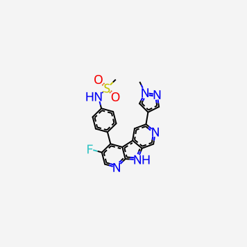 Cn1cc(-c2cc3c(cn2)[nH]c2ncc(F)c(-c4ccc(NS(C)(=O)=O)cc4)c23)cn1